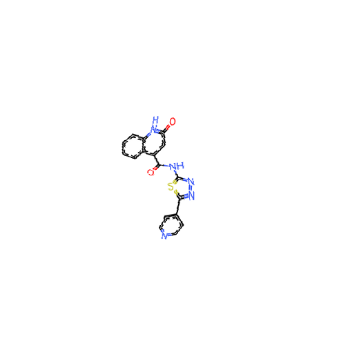 O=C(Nc1nnc(-c2ccncc2)s1)c1cc(=O)[nH]c2ccccc12